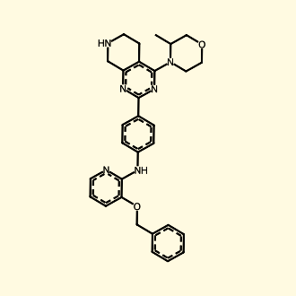 CC1COCCN1c1nc(-c2ccc(Nc3ncccc3OCc3ccccc3)cc2)nc2c1CCNC2